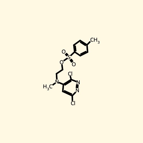 Cc1ccc(S(=O)(=O)OCCN(C)c2cc(Cl)nnc2Cl)cc1